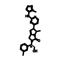 Cc1cccc([C@@H](CO)N2CC3=CC(c4ccnc(Nc5ccnn5C)n4)C(C)N3C2=O)c1